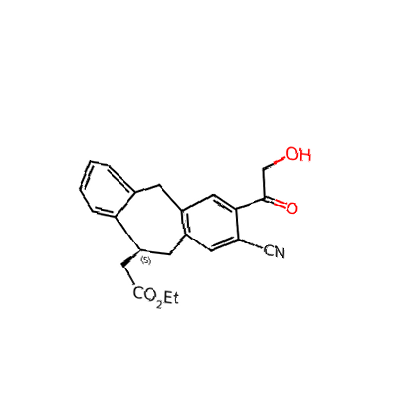 CCOC(=O)C[C@@H]1Cc2cc(C#N)c(C(=O)CO)cc2Cc2ccccc21